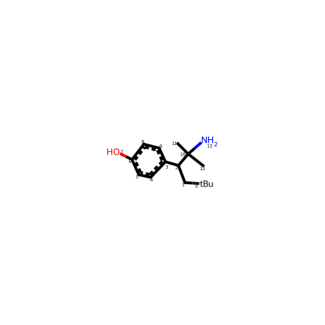 CC(C)(C)CC(c1ccc(O)cc1)C(C)(C)N